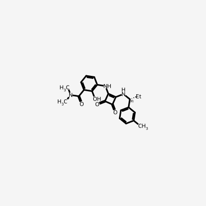 CC[C@@H](Nc1c(Nc2cccc(C(=O)N(C)C)c2O)c(=O)c1=O)c1cccc(C)c1